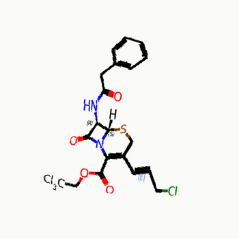 O=C(Cc1ccccc1)N[C@@H]1C(=O)N2C(C(=O)OCC(Cl)(Cl)Cl)=C(/C=C/CCl)CS[C@@H]12